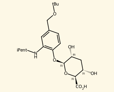 CCCC(C)Nc1cc(COC(C)(C)C)ccc1O[C@@H]1O[C@H](C(=O)O)[C@@H](O)C[C@H]1O